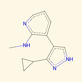 CNc1ncccc1-c1c[nH]nc1C1CC1